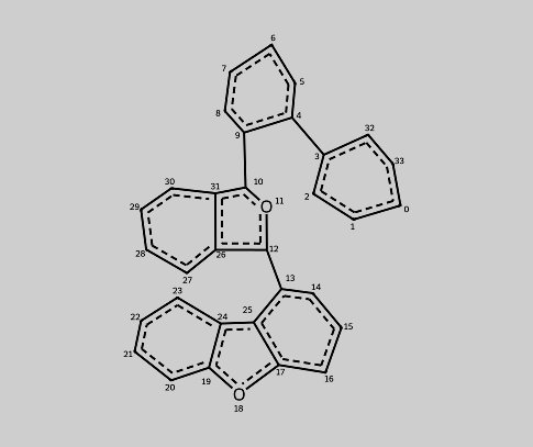 c1ccc(-c2ccccc2-c2oc(-c3cccc4oc5ccccc5c34)c3ccccc23)cc1